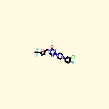 CC(F)(F)c1ccc(Cn2cnc(N3CCN(c4ccc(F)c(Cl)c4)CC3)nc2=O)o1